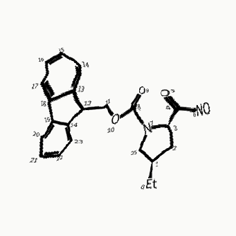 CC[C@@H]1C[C@H](C(=O)N=O)N(C(=O)OCC2c3ccccc3-c3ccccc32)C1